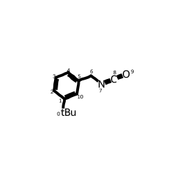 CC(C)(C)c1cccc(CN=C=O)c1